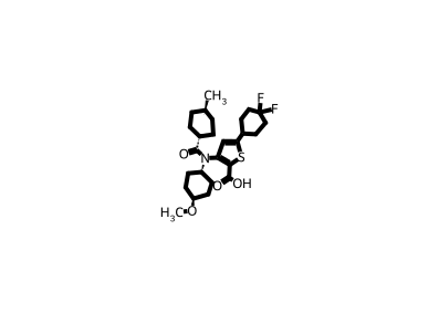 CO[C@H]1CC[C@H](N(c2cc(C3CCC(F)(F)CC3)sc2C(=O)O)C(=O)[C@H]2CC[C@H](C)CC2)CC1